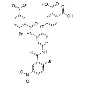 O=C(Nc1ccc(Oc2ccc(C(=O)O)c(C(=O)O)c2)c(NC(=O)c2cc([N+](=O)[O-])ccc2Br)c1)c1cc([N+](=O)[O-])ccc1Br